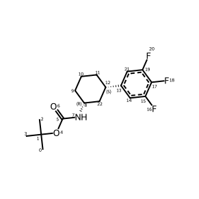 CC(C)(C)OC(=O)N[C@@H]1CCC[C@H](c2cc(F)c(F)c(F)c2)C1